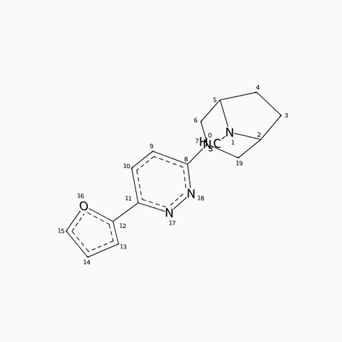 CN1C2CCC1CN(c1ccc(-c3ccco3)nn1)C2